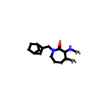 CNC1C(=O)N(CC2CC3CCC2C3)CCCC1C